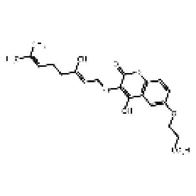 CC(C)=CCC/C(C)=C/COc1c(O)c2cc(OCCC(=O)O)ccc2oc1=O